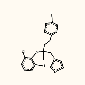 CC(CCc1ccc(F)cc1)(Cn1ccnc1)Sc1c(Cl)cccc1Cl